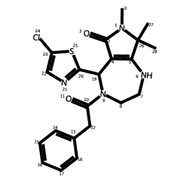 CN1C(=O)C2=C(NCCN(C(=O)Cc3ccccc3)C2c2ncc(Cl)s2)C1(C)C